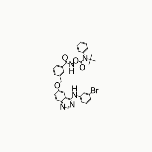 CC(C)(C)N(C(=O)ONC(=O)c1cccc(COc2ccc3ncnc(Nc4cccc(Br)c4)c3c2)c1)c1ccccc1